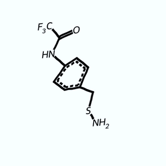 NSCc1ccc(NC(=O)C(F)(F)F)cc1